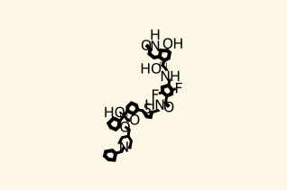 O=C(NCc1ccc(-c2cccc([C@](O)(C(=O)OCC3CCN(Cc4ccccc4)CC3)c3ccccc3)c2)s1)c1cc(F)c(CNC[C@H](O)c2ccc(O)c3[nH]c(=O)ccc23)cc1F